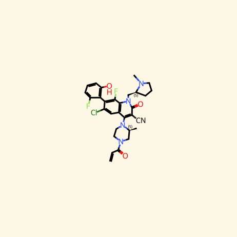 C=CC(=O)N1CCN(c2c(C#N)c(=O)n(C[C@@H]3CCCN3C)c3c(F)c(-c4c(O)cccc4F)c(Cl)cc23)[C@@H](C)C1